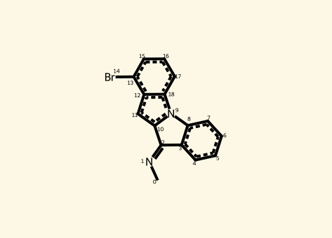 C/N=C1\c2ccccc2-n2c1cc1c(Br)cccc12